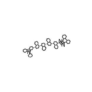 c1ccc(-n2c3ccccc3c3ccc(-c4ccc(-c5ccc(-c6ccc(-c7ccc(-c8cnc9c%10ccccc%10c%10ccccc%10c9n8)c8ccccc78)c7ccccc67)c6ccccc56)c5ccccc45)cc32)cc1